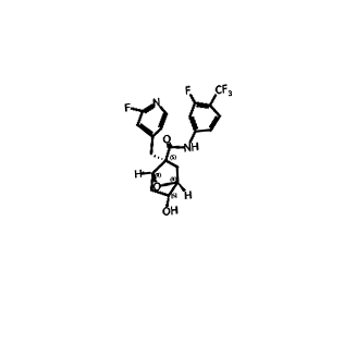 O=C(Nc1ccc(C(F)(F)F)c(F)c1)[C@@]1(Cc2ccnc(F)c2)C[C@H]2O[C@@H]1C[C@@H]2O